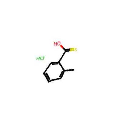 Cc1ccccc1C(O)=S.Cl